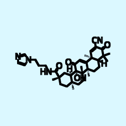 CC1(C)C(=O)C(C#N)=C[C@]2(C)C3=CC(=O)[C@]4(O)[C@@H]5C[C@@](C)(C(=O)NCCCn6ccnc6)CC[C@]5(C)CC[C@@]4(C)[C@]3(C)CC[C@@H]12